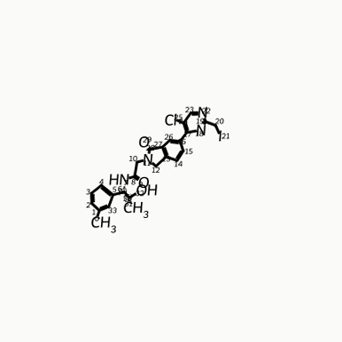 Cc1cccc([C@H](NC(=O)CN2Cc3ccc(-c4nc(CI)ncc4Cl)cc3C2=O)[C@H](C)O)c1